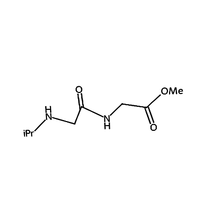 COC(=O)CNC(=O)CNC(C)C